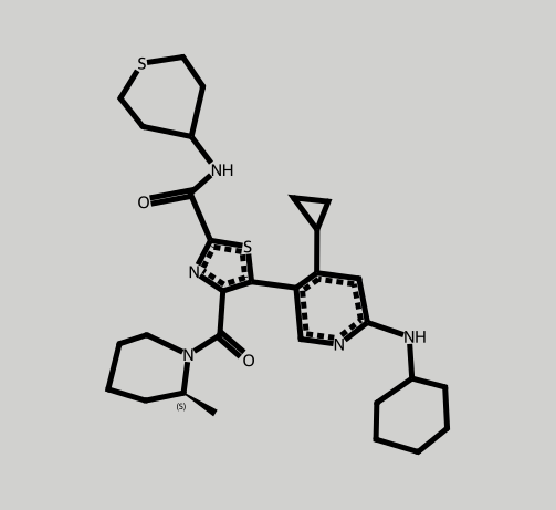 C[C@H]1CCCCN1C(=O)c1nc(C(=O)NC2CCSCC2)sc1-c1cnc(NC2CCCCC2)cc1C1CC1